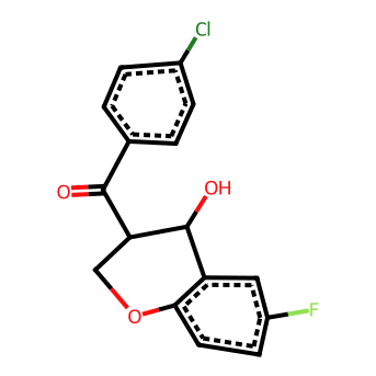 O=C(c1ccc(Cl)cc1)C1COc2ccc(F)cc2C1O